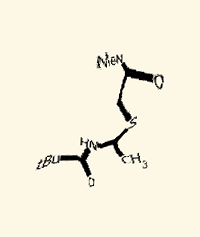 CNC(=O)CSC(C)NC(=O)C(C)(C)C